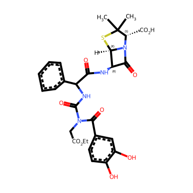 CCOC(=O)CN(C(=O)NC(C(=O)N[C@@H]1C(=O)N2[C@@H]1SC(C)(C)[C@@H]2C(=O)O)c1ccccc1)C(=O)c1ccc(O)c(O)c1